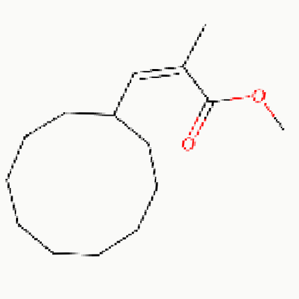 COC(=O)C(C)=CC1CCCCCCCCC1